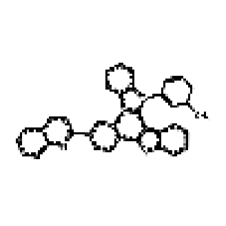 CC1C=C(n2c3ccccc3c3c4cc(-c5ccc6ccccc6n5)ccc4c4[nH]c5ccccc5c4c32)C=CC1